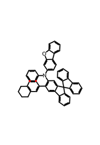 c1ccc(N(c2ccc3c(c2)oc2ccccc23)c2cc3c(cc2-c2ccc4c(c2)CCCC4)-c2ccccc2C32c3ccccc3-c3ccccc32)cc1